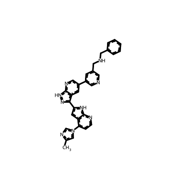 Cc1cn(-c2ccnc3[nH]c(-c4n[nH]c5ncc(-c6cncc(CNCc7ccccc7)c6)cc45)cc23)cn1